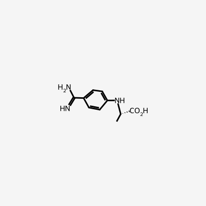 C[C@H](Nc1ccc(C(=N)N)cc1)C(=O)O